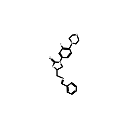 O=C1OC(CN=Cc2ccccc2)CN1c1ccc(N2CCOCC2)c(F)c1